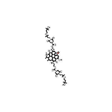 COc1c2c3c4c(c(NCCOC(=O)N5CC(=O)N(CCC(C)(C)OCCC(C)(C)OC)C(=O)C5)c(=O)c5c(O)cc(OC)c(c6c(OC)cc(NCOC(=O)N7CC(=O)N(CCC(C)(C)OCCC(C)(C)OC)C(=O)C7)c(c1=O)c63)c54)C=C(C)C2C(C)=O